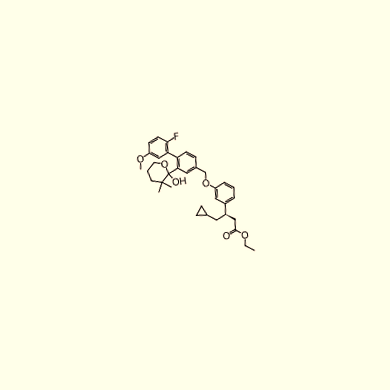 CCOC(=O)C[C@@H](CC1CC1)c1cccc(OCc2ccc(-c3cc(OC)ccc3F)c(C3(O)OCCCC3(C)C)c2)c1